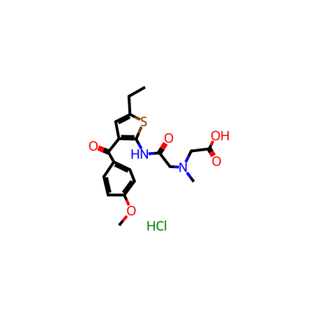 CCc1cc(C(=O)c2ccc(OC)cc2)c(NC(=O)CN(C)CC(=O)O)s1.Cl